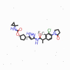 CC(C(=O)Nc1cc([C@H]2CC[C@@H](OC(=O)NC3(C)CC3)C2)[nH]n1)c1ccc(N2CCCC2=O)c(Cl)c1C(F)(F)F